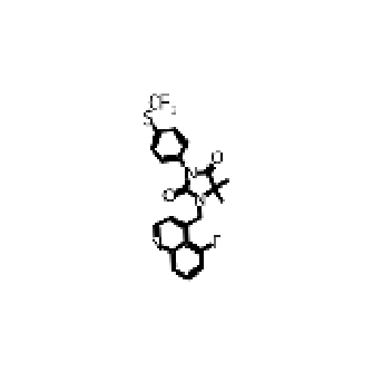 CC1(C)C(=O)N(c2ccc(SC(F)(F)F)cc2)C(=O)N1Cc1ccnc2cccc(F)c12